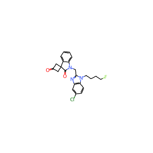 O=C1CC2(C1)C(=O)N(Cc1nc3cc(Cl)ccc3n1CCCCF)c1ccccc12